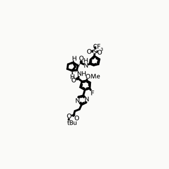 COc1cc(F)c(-c2cnc(CCC(=O)OC(C)(C)C)cn2)cc1C(=O)N[C@@H]1[C@@H]2CC[C@@H](C2)[C@@H]1C(=O)Nc1cccc(S(=O)(=O)C(F)(F)F)c1